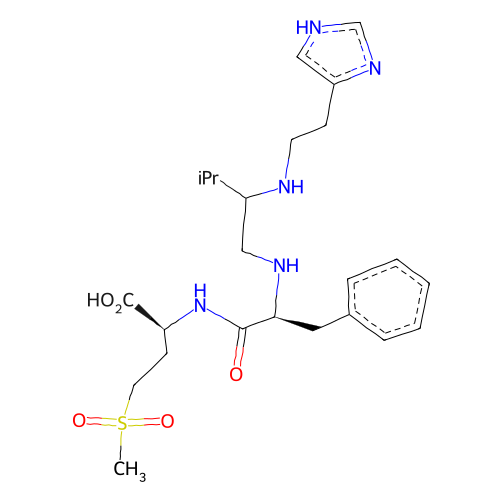 CC(C)C(CN[C@@H](Cc1ccccc1)C(=O)N[C@@H](CCS(C)(=O)=O)C(=O)O)NCCc1c[nH]cn1